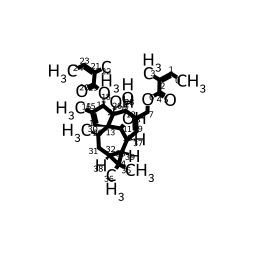 C/C=C(/C)C(=O)OCC1=C[C@@H]2C(O)[C@]3(C=C(C)[C@H](OC(=O)/C(C)=C\C)[C@@]3(O)[C@@H]1O)[C@H](C)C[C@@H]1[C@H]2C1(C)C